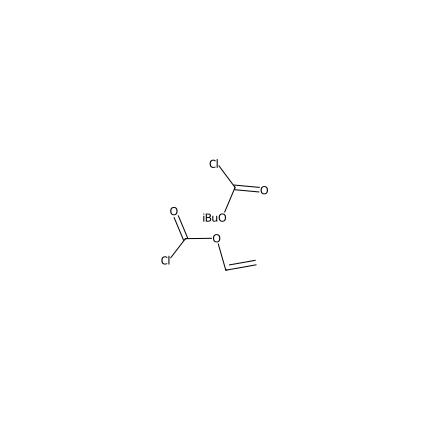 C=COC(=O)Cl.CC(C)COC(=O)Cl